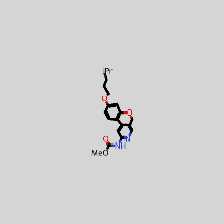 COC(=O)Nc1cc2c(cn1)COc1cc(OCCCC(C)C)ccc1-2